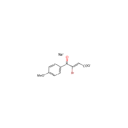 COc1ccc(C(=O)/C(Br)=C/C(=O)[O-])cc1.[Na+]